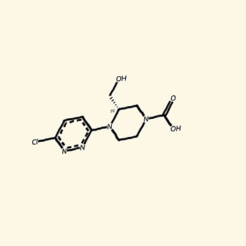 O=C(O)N1CCN(c2ccc(Cl)nn2)[C@H](CO)C1